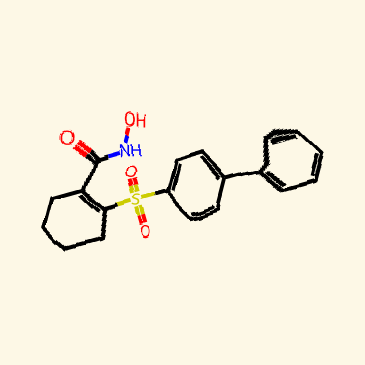 O=C(NO)C1=C(S(=O)(=O)c2ccc(-c3ccccc3)cc2)CCCC1